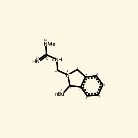 CCCCC1c2ccccc2CN1CNC(=N)NC